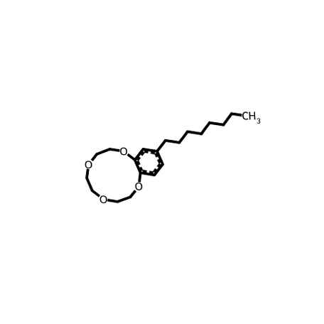 CCCCCCCCc1ccc2c(c1)OCCOCCOCCO2